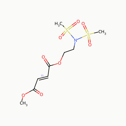 COC(=O)/C=C/C(=O)OCCN(S(C)(=O)=O)S(C)(=O)=O